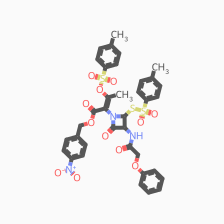 CC(OS(=O)(=O)c1ccc(C)cc1)=C(C(=O)OCc1ccc([N+](=O)[O-])cc1)N1C(=O)C(NC(=O)COc2ccccc2)C1SS(=O)(=O)c1ccc(C)cc1